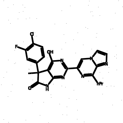 CCCc1nc(-c2nc(O)c3c(n2)NC(=O)C3(C)c2ccc(Cl)c(F)c2)cn2ccnc12